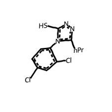 CCCc1nnc(S)n1-c1ccc(Cl)cc1Cl